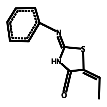 CC=C1SC(=Nc2ccccc2)NC1=O